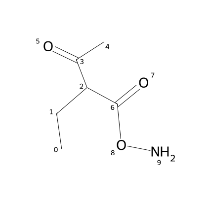 CCC(C(C)=O)C(=O)ON